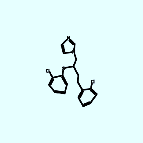 Clc1ccccc1CCC(Cn1ccnc1)Sc1ccccc1Cl